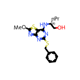 CCC[C@H](CO)Nc1nc(SCc2ccccc2)nc2nc(OC)sc12